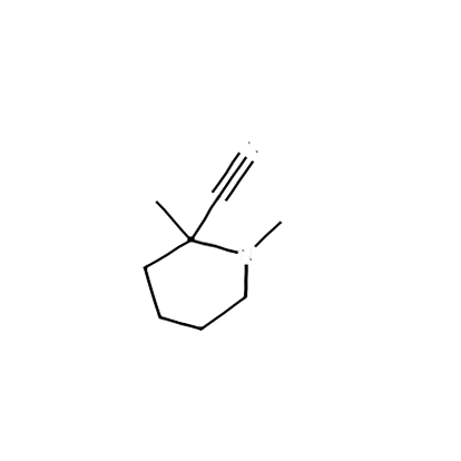 CN1CCCCC1(C)C#N